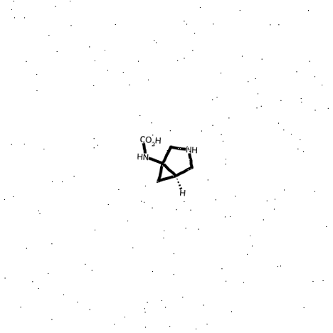 O=C(O)NC12CNC[C@H]1C2